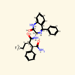 NC(=O)[C@@H](c1ccccc1)[C@@H](CCC(F)(F)F)C(=O)N[C@H]1N=C(c2ccccc2)c2ccccc2NC1=O